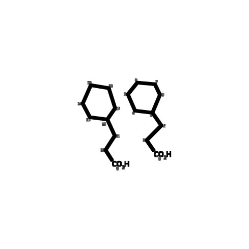 O=C(O)CCC1CCCCC1.O=C(O)CCC1CCCCC1